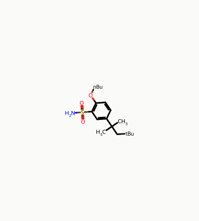 CCCCOc1ccc(C(C)(C)CC(C)(C)C)cc1S(N)(=O)=O